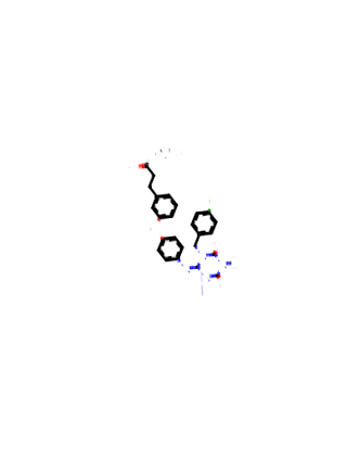 CCN1C(=O)NC(Nc2ccc(Oc3cccc(CCC(=O)OC)c3)cc2)N(Cc2ccc(Cl)cc2)C1=O